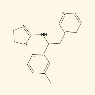 Cc1cccc(C(Cc2cccnc2)NC2=NCCO2)c1